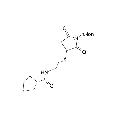 CCCCCCCCCN1C(=O)CC(SCCNC(=O)C2CCCC2)C1=O